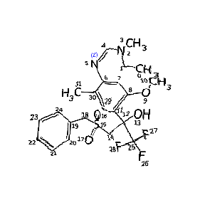 CCN(C)/C=N\c1cc(OC)c(C(O)(CS(=O)(=O)Cc2ccccc2)C(F)(F)F)cc1C